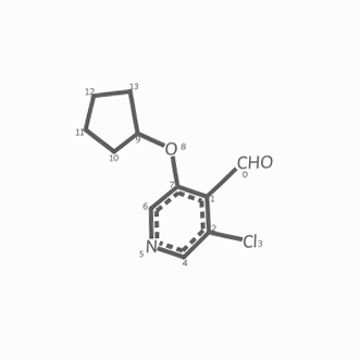 O=Cc1c(Cl)cncc1OC1CCCC1